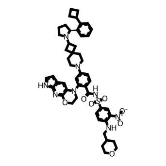 O=C(NS(=O)(=O)c1ccc(NCC2CCOCC2)c([N+](=O)[O-])c1)c1ccc(N2CCC3(CC2)CC(N2CCC[C@H]2c2ccccc2C2CCC2)C3)cc1N1CCOc2nc3[nH]ccc3cc21